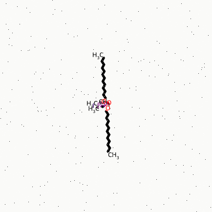 CCCCCCCCCCCCCCOP(=O)(C[P+](C)(C)C)OCCCCCCCCCCCCCC.[I-]